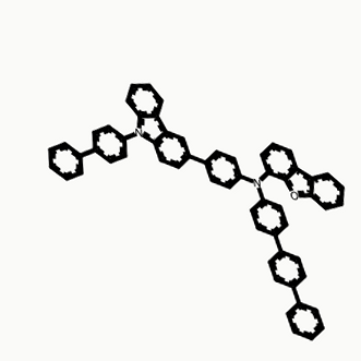 c1ccc(-c2ccc(-c3ccc(N(c4ccc(-c5ccc6c(c5)c5ccccc5n6-c5ccc(-c6ccccc6)cc5)cc4)c4cccc5c4oc4ccccc45)cc3)cc2)cc1